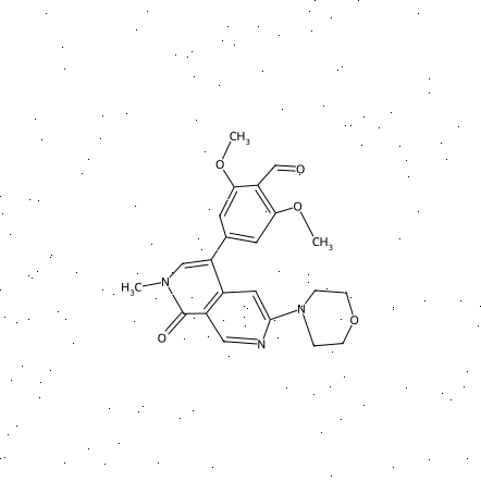 COc1cc(-c2cn(C)c(=O)c3cnc(N4CCOCC4)cc23)cc(OC)c1C=O